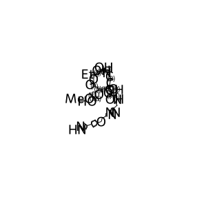 CC[C@H]1OC(=O)[C@H](C)[C@@H](C2C[C@@](C)(OC)[C@@H](O)[C@H](C)O2)[C@H](C)[C@@H](O[C@@H]2O[C@H](C)C[C@H](N(C)CCc3cn(CCCOc4ccc(-c5cn[nH]c5)cc4)nn3)[C@H]2O)[C@](C)(O)C[C@@H](C)CN(C)[C@H](C)[C@@H](O)[C@]1(C)O